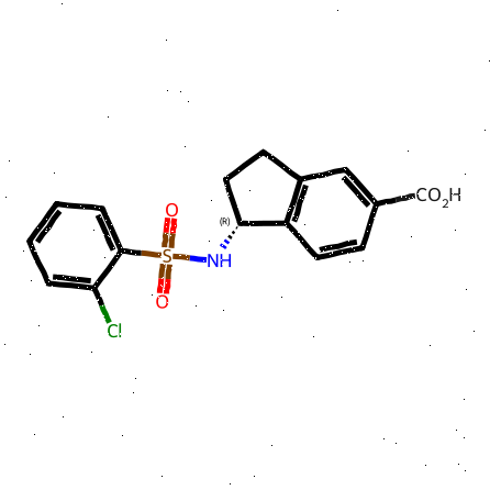 O=C(O)c1ccc2c(c1)CC[C@H]2NS(=O)(=O)c1ccccc1Cl